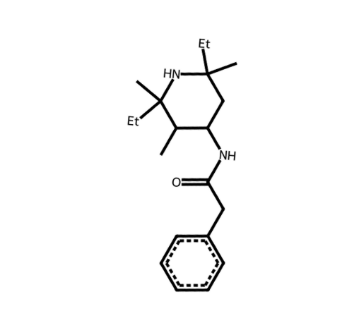 CCC1(C)CC(NC(=O)Cc2ccccc2)C(C)C(C)(CC)N1